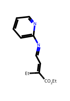 CCOC(=O)C(=CC=Nc1ccccn1)CC